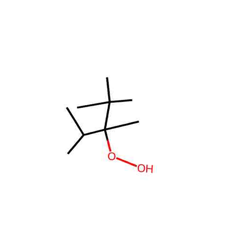 CC(C)C(C)(OO)C(C)(C)C